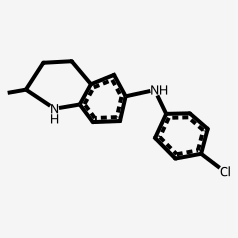 CC1CCc2cc(Nc3ccc(Cl)cc3)ccc2N1